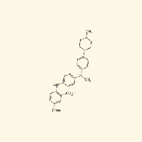 COc1ccc(Nc2ccc(N(C)c3ccc(C4CCC(C)CC4)cc3)cc2)c(C(=O)O)c1